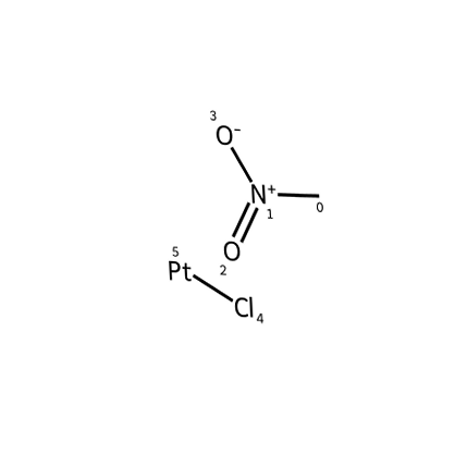 C[N+](=O)[O-].[Cl][Pt]